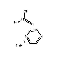 O.O=[PH](O)O.[NaH].c1cnccn1